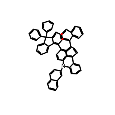 c1ccc(C2(c3ccccc3)c3ccccc3-c3c(-c4ccc(N(c5ccc6ccccc6c5)c5ccccc5-c5ccc(-c6cccc7ccccc67)cc5)cc4)cccc32)cc1